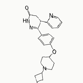 O=C1CC(c2ccccn2)C(c2ccc(OC3CCN(C4CCC4)CC3)cc2)=NN1